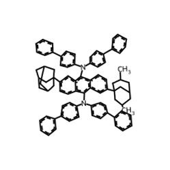 CC1CC2CC(C)CC(c3ccc4c(N(c5ccc(-c6ccccc6)cc5)c5ccc(-c6ccccc6)cc5)c5cc(C67CC8CC(CC(C8)C6)C7)ccc5c(N(c5ccc(-c6ccccc6)cc5)c5ccc(-c6ccccc6)cc5)c4c3)(C1)C2